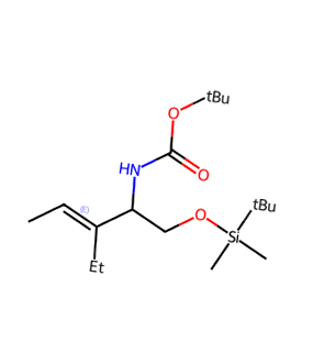 C/C=C(\CC)C(CO[Si](C)(C)C(C)(C)C)NC(=O)OC(C)(C)C